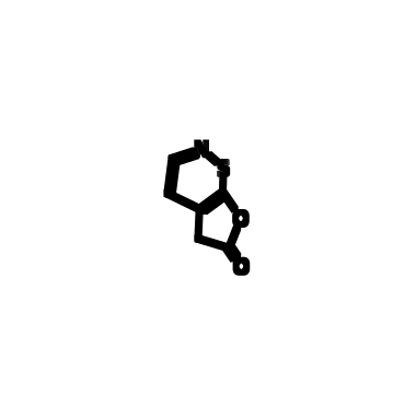 O=C1CC2=C(O1)SN=C=C2